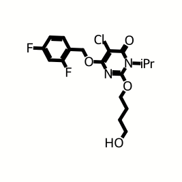 CC(C)n1c(OCCCCO)nc(OCc2ccc(F)cc2F)c(Cl)c1=O